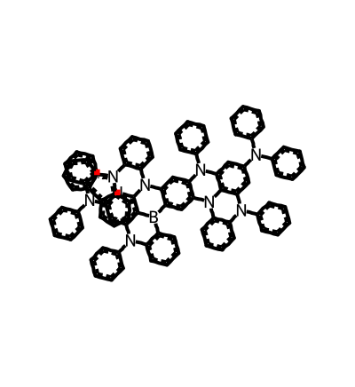 c1ccc(N(c2ccccc2)c2cc3c4c(c2)N(c2ccccc2)c2cc5c(cc2N4c2ccccc2N3c2ccccc2)B2c3ccccc3N(c3ccccc3)c3cc(N(c4ccccc4)c4ccccc4)nc(c32)N5c2ccccc2-n2c3ccccc3c3ccccc32)cc1